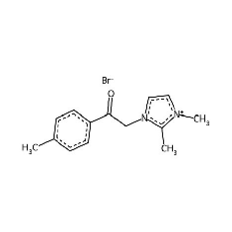 Cc1ccc(C(=O)Cn2cc[n+](C)c2C)cc1.[Br-]